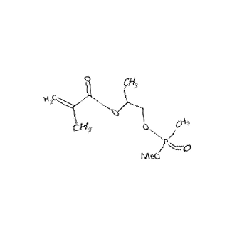 C=C(C)C(=O)OC(C)COP(C)(=O)OC